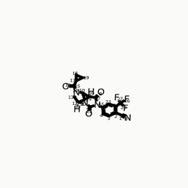 N#Cc1ccc(N2C(=O)[C@@H]3C4C[C@H](CN4C(=O)C4CC4)N3C2=O)cc1C(F)(F)F